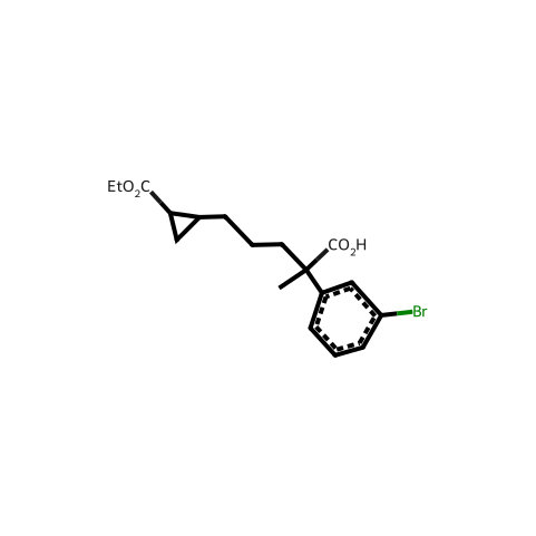 CCOC(=O)C1CC1CCCC(C)(C(=O)O)c1cccc(Br)c1